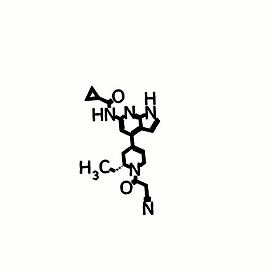 CC[C@@H]1CC(c2cc(NC(=O)C3CC3)nc3[nH]ccc23)=CCN1C(=O)CC#N